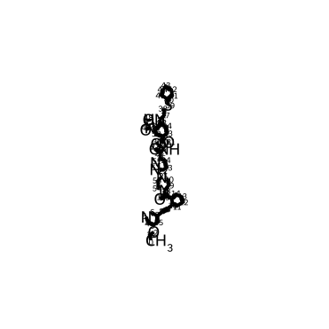 CCOc1cncc(C#Cc2ccccc2C(=O)N2CCN(c3ccc(C(=O)NS(=O)(=O)c4ccc(NCCSc5ccccc5)c([N+](=O)[O-])c4)nn3)CC2)c1